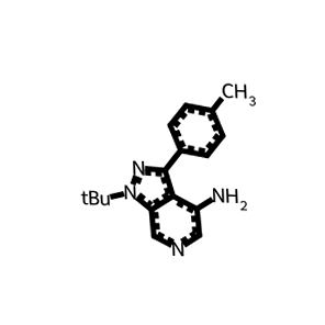 Cc1ccc(-c2nn(C(C)(C)C)c3cncc(N)c23)cc1